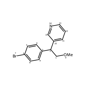 COCC(c1ccc(Br)cc1)c1cccnc1